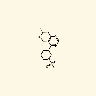 C[C@@H]1Cc2ncnc([C@@H]3CCCN(S(C)(=O)=O)C3)c2CN1